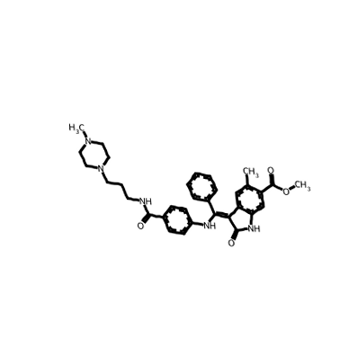 COC(=O)c1cc2c(cc1C)/C(=C(/Nc1ccc(C(=O)NCCCN3CCN(C)CC3)cc1)c1ccccc1)C(=O)N2